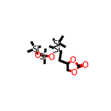 C[Si](C)(C)O[Si](C)(C)O[Si](C)(CCC1COC(=O)O1)[Si](C)(C)C